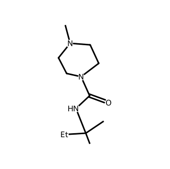 CCC(C)(C)NC(=O)N1CCN(C)CC1